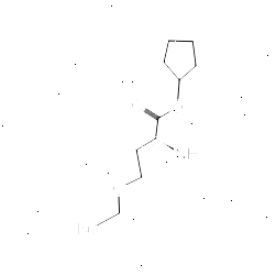 CC(C)(C)COCC[C@H](N)C(=O)OC1CCCC1